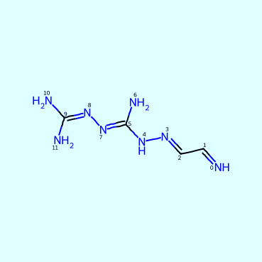 N=C/C=N/N/C(N)=N/N=C(N)N